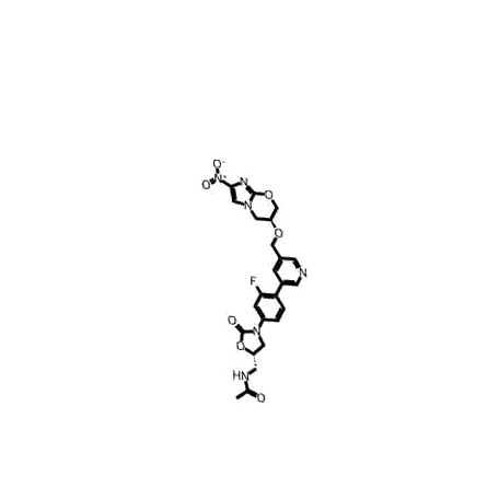 CC(=O)NC[C@H]1CN(c2ccc(-c3cncc(CO[C@@H]4COc5nc([N+](=O)[O-])cn5C4)c3)c(F)c2)C(=O)O1